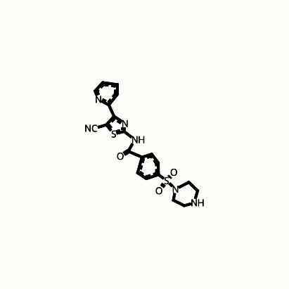 N#Cc1sc(NC(=O)c2ccc(S(=O)(=O)N3CCNCC3)cc2)nc1-c1ccccn1